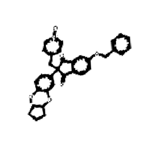 COc1ccc(C2(Cc3cc[n+]([O-])cc3)C(=O)c3ccc(OCc4ccccc4)cc3C2=O)cc1OC1CCCC1